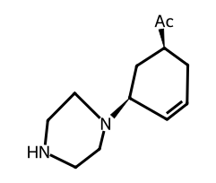 CC(=O)[C@H]1CC=C[C@@H](N2CCNCC2)C1